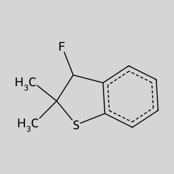 CC1(C)Sc2ccccc2C1F